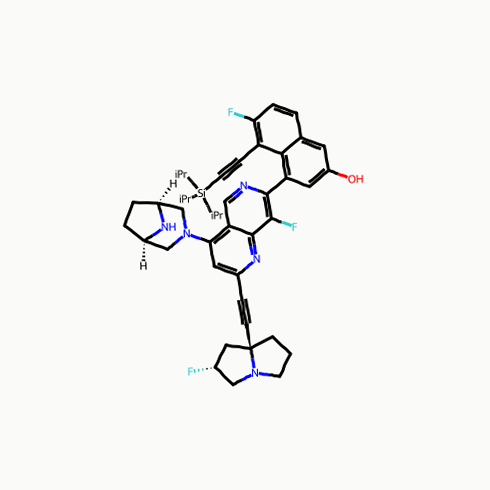 CC(C)[Si](C#Cc1c(F)ccc2cc(O)cc(-c3ncc4c(N5C[C@H]6CC[C@@H](C5)N6)cc(C#C[C@@]56CCCN5C[C@H](F)C6)nc4c3F)c12)(C(C)C)C(C)C